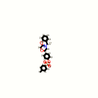 Cc1ccc(S(=O)(=O)Oc2ccc([C@H]3CN([C@@H](C)c4ccccc4)C(=O)CO3)cc2)cc1